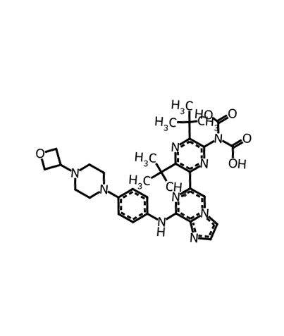 CC(C)(C)c1nc(C(C)(C)C)c(N(C(=O)O)C(=O)O)nc1-c1cn2ccnc2c(Nc2ccc(N3CCN(C4COC4)CC3)cc2)n1